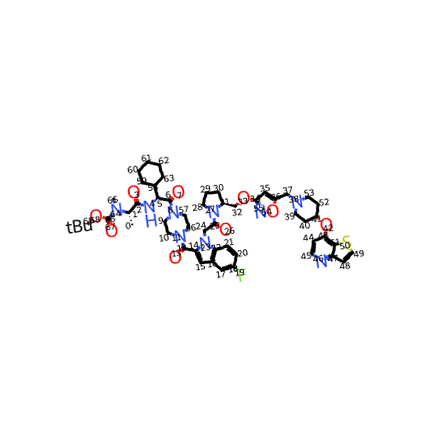 C[C@@H](C(=O)N[C@H](C(=O)N1CCN(C(=O)c2cc3cc(F)ccc3n2CC(=O)N2CCC[C@H]2COc2cc(CN3CCC(Oc4ccnc5ccsc45)CC3)on2)CC1)C1CCCCC1)N(C)C(=O)OC(C)(C)C